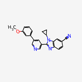 COc1cccc(-c2cncc(-c3nc4ccc(C#N)cc4n3C3CC3)c2)c1